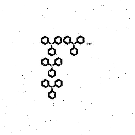 [Fe+2].[H-].[H-].c1ccc(P(c2ccccc2)c2ccccc2)cc1.c1ccc(P(c2ccccc2)c2ccccc2)cc1.c1ccc(P(c2ccccc2)c2ccccc2)cc1.c1ccc(P(c2ccccc2)c2ccccc2)cc1